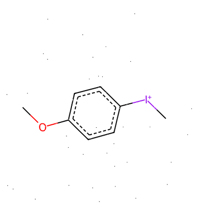 COc1ccc([I+]C)cc1